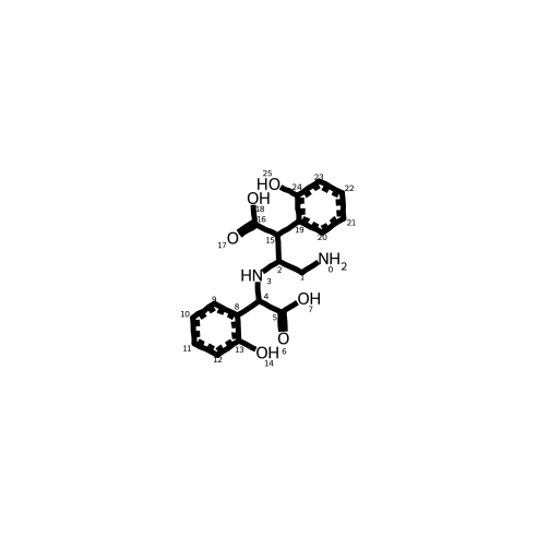 NCC(NC(C(=O)O)c1ccccc1O)C(C(=O)O)c1ccccc1O